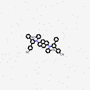 N#Cc1ccc(-c2cc(-c3ccccc3)cc(N(c3ccccc3C#N)c3ccc4ccc5c(N(c6cc(-c7ccccc7)cc(-c7ccc(C#N)cc7)c6)c6ccccc6C#N)ccc6ccc3c4c65)c2)cc1